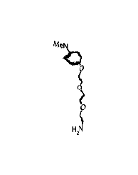 CNc1ccc(OCCOCCOCCN)cc1